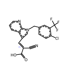 N#C/C(=C\c1cn(Cc2ccc(Cl)c(C(F)(F)F)c2)c2ncccc12)C(=O)O